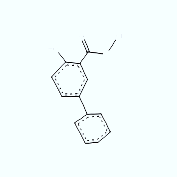 COC(=O)c1cc(-c2ccccc2)ccc1O